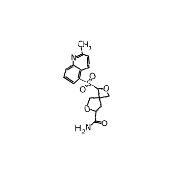 Cc1ccc2c(S(=O)(=O)C3OCC34COC(C(N)=O)C4)cccc2n1